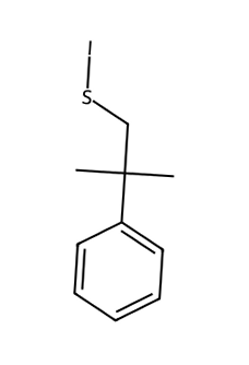 CC(C)(CSI)c1ccccc1